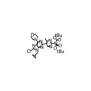 Cc1nc(N(C(=O)OC(C)(C)C)C(=O)OC(C)(C)C)ncc1-c1nc(N2CCOCC2)c2nc(Cl)n(CC3CC3)c2n1